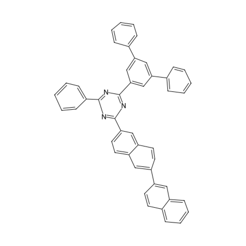 c1ccc(-c2cc(-c3ccccc3)cc(-c3nc(-c4ccccc4)nc(-c4ccc5cc(-c6ccc7ccccc7c6)ccc5c4)n3)c2)cc1